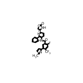 Cn1ccc(-c2cc(C(=O)Nc3ccc([C@H]4COC(=O)N4)nc3-c3ccccc3)c(F)cc2C(F)(F)F)n1